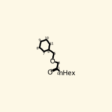 CCCCCCC(=O)COCC1CCCCC1